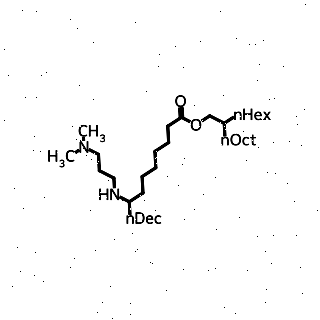 CCCCCCCCCCC(CCCCCCC(=O)OCC(CCCCCC)CCCCCCCC)NCCCN(C)C